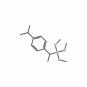 CO[Si](OC)(OC)C(C)c1ccc(C(C)I)cc1